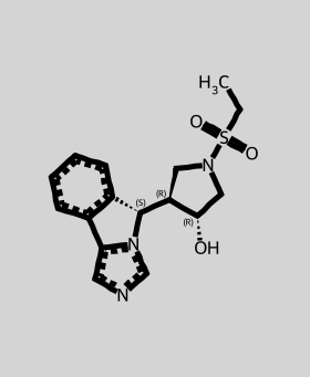 CCS(=O)(=O)N1C[C@H]([C@H]2c3ccccc3-c3cncn32)[C@@H](O)C1